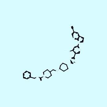 CNc1cc(-n2ccc3cc(C#N)cnc32)ncc1-c1nnc([C@H]2CC[C@H](NCC3CCN(C(=O)OCc4ccccc4)CC3)CC2)s1